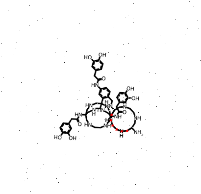 NC12CNCCNCC(NCc3ccc(NC(=O)Cc4ccc(O)c(O)c4)cc3C3CNCC4(NC(=O)Cc5ccc(O)c(O)c5)CNCCNCC(NC(=O)Cc5ccc(O)c(O)c5)(CNCCNC4)CN3)(CNCCNC1)CNCCNC2